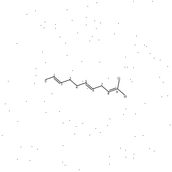 C/C=C/CC/C=C/CC=C(C)C